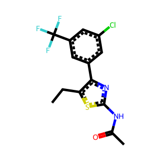 CCc1sc(NC(C)=O)nc1-c1cc(Cl)cc(C(F)(F)F)c1